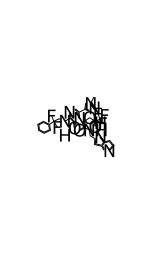 Cn1cc(-c2cnc(NCC(F)(F)c3ccccc3)c(=O)n2C(OC(=O)C(F)(F)F)C(=O)NCc2cc3cnccc3[nH]2)cn1